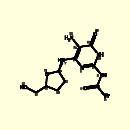 CC(C)C(=O)Nc1nc(N[C@H]2CCC(CO)O2)c(N)c(=O)[nH]1